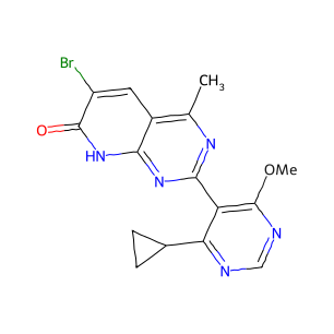 COc1ncnc(C2CC2)c1-c1nc(C)c2cc(Br)c(=O)[nH]c2n1